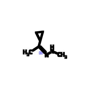 CN/N=C(/C)C1CC1